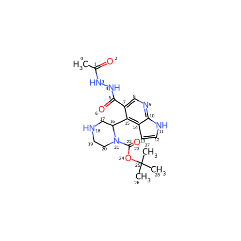 CC(=O)NNC(=O)c1cnc2[nH]ccc2c1C1CNCCN1C(=O)OC(C)(C)C